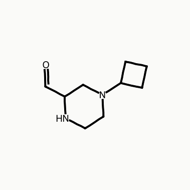 O=CC1CN(C2CCC2)CCN1